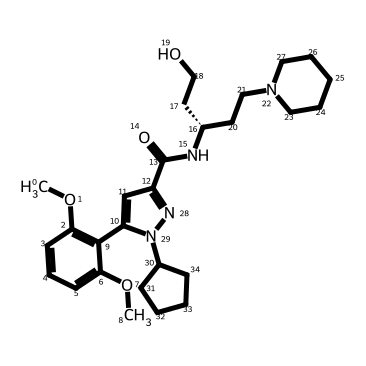 COc1cccc(OC)c1-c1cc(C(=O)N[C@H](CCO)CCN2CCCCC2)nn1C1CCCC1